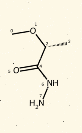 CO[C@H](C)C(=O)NN